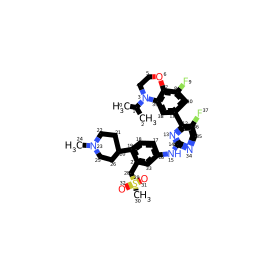 CC(C)N1CCOc2c(F)cc(-c3nc(Nc4ccc(C5CCN(C)CC5)c(CS(C)(=O)=O)c4)ncc3F)cc21